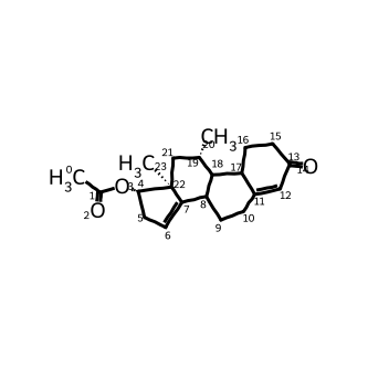 CC(=O)O[C@H]1CC=C2C3CCC4=CC(=O)CCC4C3[C@@H](C)C[C@@]21C